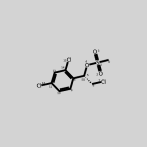 CS(=O)(=O)O[C@H](CCl)c1ccc(Cl)cc1Cl